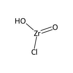 [O]=[Zr]([OH])[Cl]